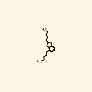 CCCCCC1=Nc2c(CCCCC)cccc2[N]1